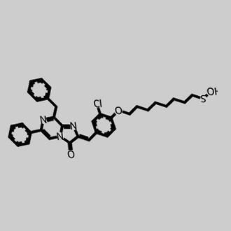 O=C1/C(=C/c2ccc(OCCCCCCCCSO)c(Cl)c2)N=C2C(Cc3ccccc3)=NC(c3ccccc3)=CN12